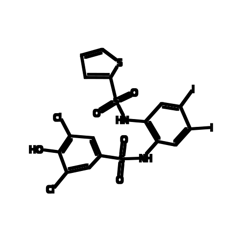 O=S(=O)(Nc1cc(I)c(I)cc1NS(=O)(=O)c1cccs1)c1cc(Cl)c(O)c(Cl)c1